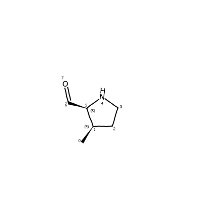 C[C@@H]1CCN[C@@H]1[C]=O